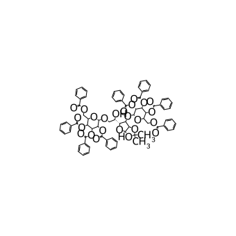 CC1(C)OC2[C@H](O[C@H](C(O)COC3OC(COC(=O)c4ccccc4)C(OC(=O)c4ccccc4)C(OC(=O)c4ccccc4)C3OC(=O)c3ccccc3)[C@H]2OC2OC(COC(=O)c3ccccc3)C(OC(=O)c3ccccc3)C(OC(=O)c3ccccc3)C2OC(=O)c2ccccc2)O1